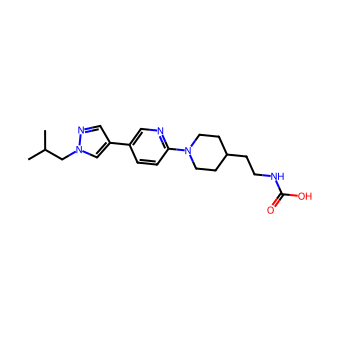 CC(C)Cn1cc(-c2ccc(N3CCC(CCNC(=O)O)CC3)nc2)cn1